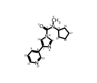 CN(C(=O)n1cnc(-c2cccnc2)c1)C1CCCC1